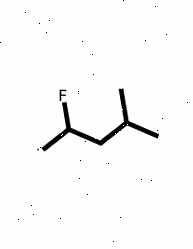 [CH2]C(F)CC(C)C